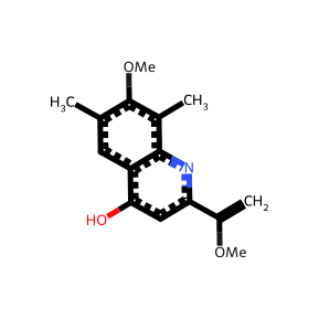 C=C(OC)c1cc(O)c2cc(C)c(OC)c(C)c2n1